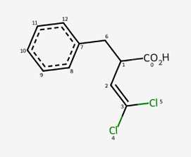 O=C(O)C(C=C(Cl)Cl)Cc1ccccc1